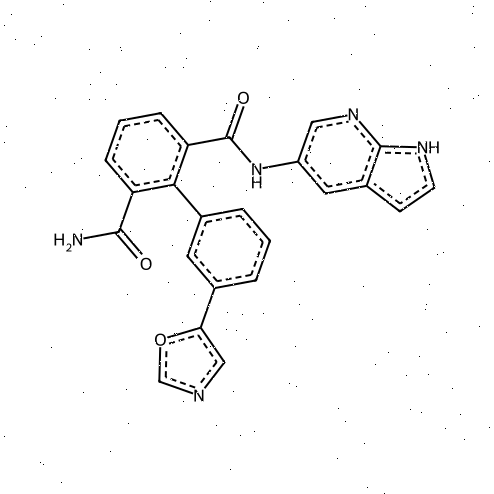 NC(=O)c1cccc(C(=O)Nc2cnc3[nH]ccc3c2)c1-c1cccc(-c2cnco2)c1